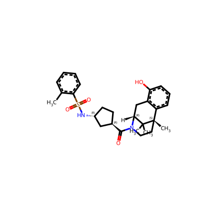 Cc1ccccc1S(=O)(=O)N[C@@H]1CC[C@@H](C(=O)N2CC[C@@]3(C)c4cccc(O)c4C[C@@H]2C3(C)C)C1